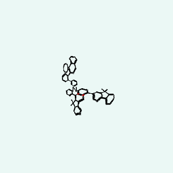 CC1(C)c2ccccc2-c2ccc(-c3ccc(N(c4cccc(-c5cccc6oc7c8ccccc8ccc7c56)c4)c4ccccc4-c4cccc5c4C(C)(C)c4ccccc4-5)cc3)cc21